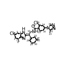 Cc1cc(Cl)cc2[nH]c(C(CNC(=O)c3ccc(-n4cnnc4C)cc3Cl)c3cccc(F)c3)nc12